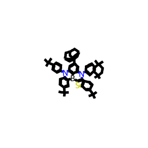 CC(C)(C)c1ccc(N2c3ccc(C(C)(C)C)cc3B3c4sc5cc(C(C)(C)C)ccc5c4N(c4ccc5c(c4)C(C)(C)CCC5(C)C)c4cc(C56CC7CC(CC(C7)C5)C6)cc2c43)cc1